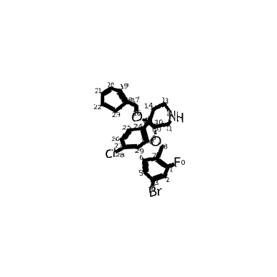 Fc1cc(Br)ccc1CO[C@H]1CNCC[C@@]1(OCc1ccccc1)c1ccc(Cl)cc1